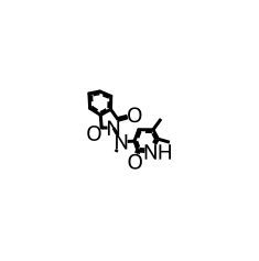 Cc1cc(N(C)N2C(=O)c3ccccc3C2=O)c(=O)[nH]c1C